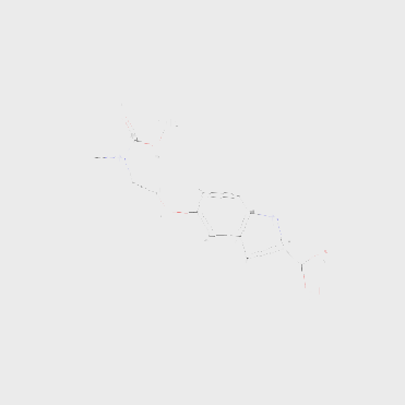 CN(CCOc1ccc2[nH]c(C(O)O)cc2c1)C(=O)OC(C)(C)C